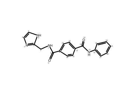 O=C(NCc1ncc[nH]1)c1ccc(C(=O)Nc2ccccc2)cc1